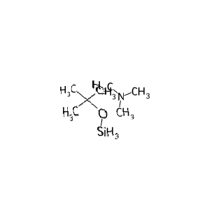 CC(C)(C)O[SiH3].CN(C)C